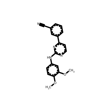 COc1ccc(Nc2nccc(-c3cccc(C#N)c3)n2)cc1OC